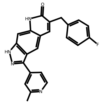 Cc1cc(-c2n[nH]c3cc4[nH]c(=O)c(Cc5ccc(F)cc5)cc4cc23)ccn1